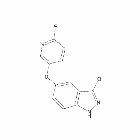 Fc1ccc(Oc2ccc3[nH]nc(Cl)c3c2)cn1